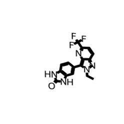 CCn1nc2ccc(C(F)(F)F)nc2c1-c1ccc2[nH]c(=O)[nH]c2c1